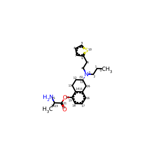 CCCN(CCc1cccs1)[C@H]1CCc2c(cccc2OC(=O)C(C)N)C1